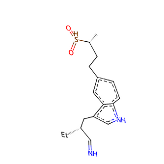 CC[C@@H](C=N)Cc1c[nH]c2ccc(CC[C@@H](C)[SH](=O)=O)cc12